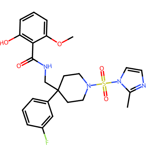 COc1cccc(O)c1C(=O)NCC1(c2cccc(F)c2)CCN(S(=O)(=O)n2ccnc2C)CC1